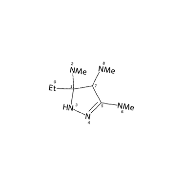 CCC1(NC)NN=C(NC)C1NC